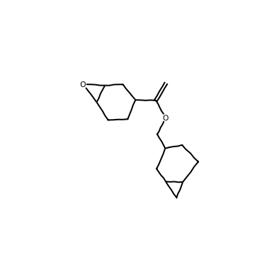 C=C(OCC1CCC2CC2C1)C1CCC2OC2C1